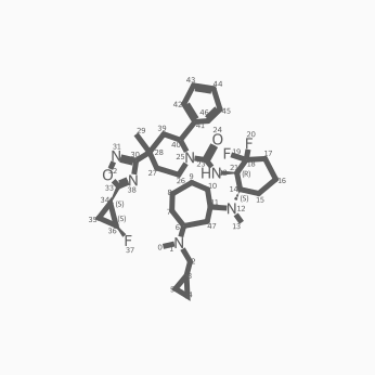 CN(CC1CC1)C1CCCCC(N(C)[C@H]2CCCC(F)(F)[C@@H]2NC(=O)N2CCC(C)(c3noc([C@@H]4C[C@@H]4F)n3)CC2c2ccccc2)C1